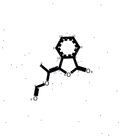 C/C(O[C]=O)=C1/OC(=O)c2ccccc21